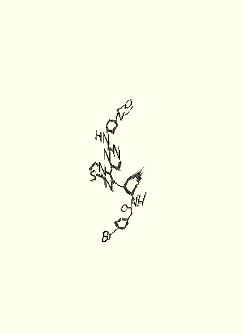 O=C(Cc1ccc(Br)cc1)Nc1cccc(-c2nc3sccn3c2-c2ccnc(Nc3ccc(N4CCOCC4)cc3)n2)c1